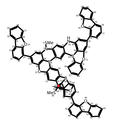 CSN1c2cc3c(cc2B2c4cc5c(cc4Oc4cc(-c6cccc7c6oc6ccccc67)cc1c42)N(SC)c1cc(-c2cccc4c2oc2ccccc24)cc2c1B5c1ccccc1O2)B1c2ccccc2Oc2cc(-c4cccc5c4oc4ccccc45)cc(c21)N3